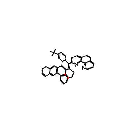 CC(C)(C)C1=CC2C(c3cc4c(cc3-c3ccccc3)C=CCC4)=c3ccccc3=C(c3ccc4ccc5cccnc5c4n3)C2C=C1